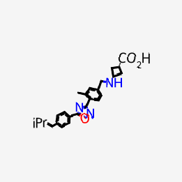 Cc1cc(CN[C@H]2C[C@@H](C(=O)O)C2)ccc1-c1noc(-c2ccc(CC(C)C)cc2)n1